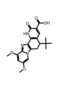 COc1cc(OC)c2nc3c(n2c1)CC(C(C)(C)C)c1cc(C(=O)O)c(=O)[nH]c1-3